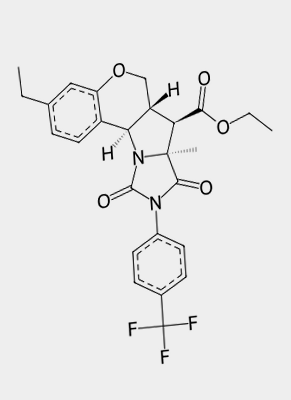 CCOC(=O)[C@@H]1[C@H]2COc3cc(CC)ccc3[C@@H]2N2C(=O)N(c3ccc(C(F)(F)F)cc3)C(=O)[C@]12C